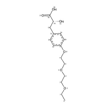 CCOCCOCCOc1ccc(C[C@@H](O)C(=O)O)cc1